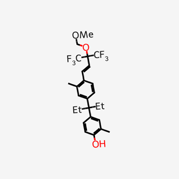 CCC(CC)(c1ccc(O)c(C)c1)c1ccc(C=CC(OCOC)(C(F)(F)F)C(F)(F)F)c(C)c1